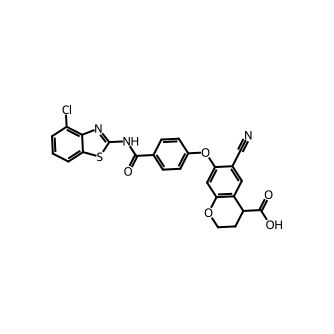 N#Cc1cc2c(cc1Oc1ccc(C(=O)Nc3nc4c(Cl)cccc4s3)cc1)OCCC2C(=O)O